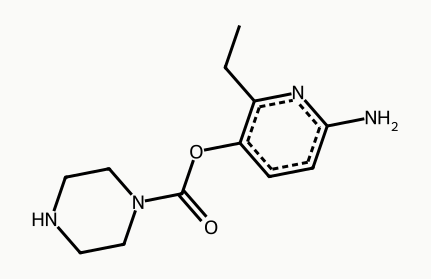 CCc1nc(N)ccc1OC(=O)N1CCNCC1